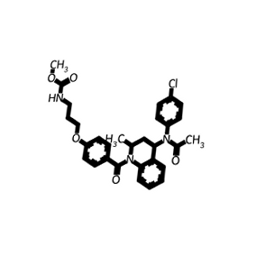 COC(=O)NCCCOc1ccc(C(=O)N2c3ccccc3C(N(C(C)=O)c3ccc(Cl)cc3)CC2C)cc1